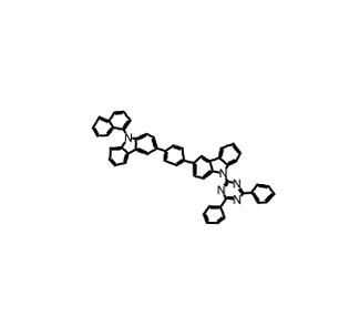 c1ccc(-c2nc(-c3ccccc3)nc(-n3c4ccccc4c4cc(-c5ccc(-c6ccc7c(c6)c6ccccc6n7-c6cccc7ccccc67)cc5)ccc43)n2)cc1